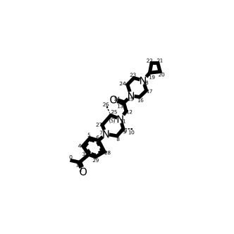 CC(=O)c1ccc(N2C[C@@H](C)N(CC(=O)N3CCN(C4CCC4)CC3)[C@@H](C)C2)cc1